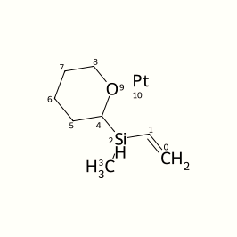 C=C[SiH](C)C1CCCCO1.[Pt]